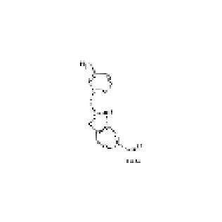 COC(=O)c1ccc2cc(Cc3cccc(N)c3)[nH]c2c1